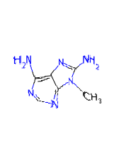 Cn1c(N)nc2c(N)ncnc21